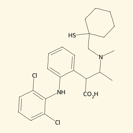 CC(C(C(=O)O)c1ccccc1Nc1c(Cl)cccc1Cl)N(C)CC1(S)CCCCC1